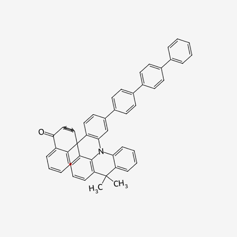 CC1(C)c2ccccc2N2c3cc(-c4ccc(-c5ccc(-c6ccccc6)cc5)cc4)ccc3C3(c4ccccc4C(=O)c4ccccc43)c3cccc1c32